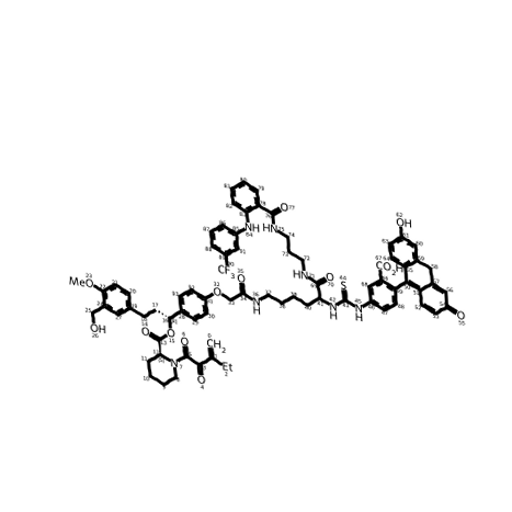 C=C(CC)C(=O)C(=O)N1CCCC[C@H]1C(=O)O[C@H](CCc1ccc(OC)c(CO)c1)c1ccc(OCC(=O)NCCCCC(NC(=S)Nc2ccc(C3=C4C=CC(=O)C=C4Cc4cc(O)ccc43)c(C(=O)O)c2)C(=O)NCCCNC(=O)c2ccccc2Nc2cccc(C(F)(F)F)c2)cc1